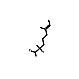 C/C=C(\C)CCCC(F)(F)C(F)F